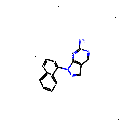 Nc1ncc2cnn(-c3cccc4ccccc34)c2n1